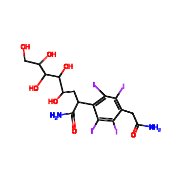 NC(=O)Cc1c(I)c(I)c(C(CC(O)C(O)C(O)C(O)CO)C(N)=O)c(I)c1I